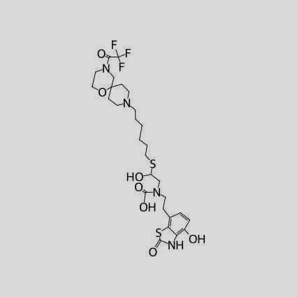 O=C(O)N(CCc1ccc(O)c2[nH]c(=O)sc12)CC(O)SCCCCCCN1CCC2(CC1)CN(C(=O)C(F)(F)F)CCO2